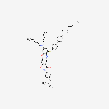 CCCCCC1CCC(C2CCC(c3ccc(Sc4cc(N(CCCCC)CCCCC)cc5oc6cc(=O)c(C(=O)Nc7ccc(CC(C)C)cc7)cc-6nc45)cc3)CC2)CC1